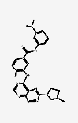 Cc1ccc(C(=O)Nc2cccc(N(C)C)c2)cc1Nc1ncnc2cnc(N3CCC(F)C3)nc12